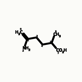 C=C(N)CCC(C)C(=O)O